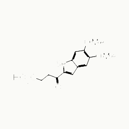 COc1cc2cc(C(=O)CCC(=O)O)[se]c2cc1OC